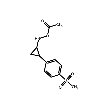 CS(=O)(=O)c1ccc(C2CC2NOC(=O)C(F)(F)F)cc1